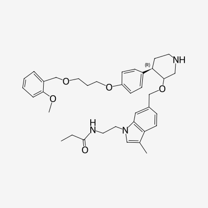 CCC(=O)NCCn1cc(C)c2ccc(COC3CNCC[C@@H]3c3ccc(OCCCOCc4ccccc4OC)cc3)cc21